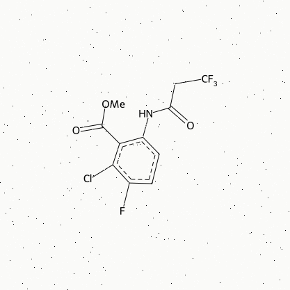 COC(=O)c1c(NC(=O)CC(F)(F)F)ccc(F)c1Cl